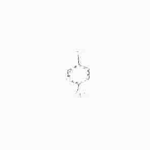 CCc1ccc(SC)nc1